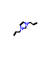 C=CCN1[CH]N(CC=C)C=C1